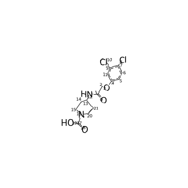 O=C(COc1ccc(Cl)c(Cl)c1)NC1CCN(C(=O)O)CC1